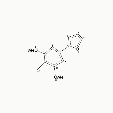 COc1cc(-c2ccco2)cc(OC)c1C